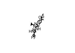 CCOC(=O)C(C)N1CCN(c2nc(C3CC3)nc(Nc3cc(C4CC(F)(F)C4)[nH]n3)c2F)CC1